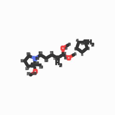 C1CC[SiH2]C1.COC(OC)[SiH2]CCCN1CCC[Si]1(C)OC